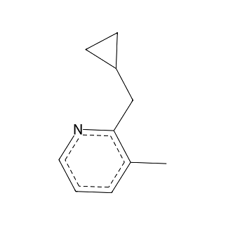 Cc1cccnc1CC1CC1